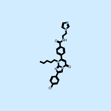 CCCCCn1c(-c2ccc(C(=O)NCCn3ccnc3)cc2)cc(=O)n2cc(-c3ccc(Cl)cc3)nc12